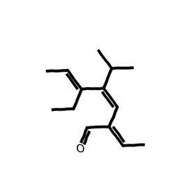 C\C=C(C=O)/C=C(\C(=C\C)CC)C(C)C